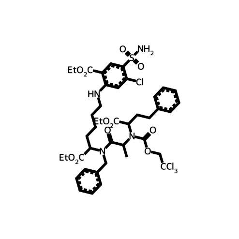 CCOC(=O)c1cc(S(N)(=O)=O)c(Cl)cc1NCCCCC(C(=O)OCC)N(Cc1ccccc1)C(=O)C(C)N(C(=O)OCC(Cl)(Cl)Cl)C(CCc1ccccc1)C(=O)OCC